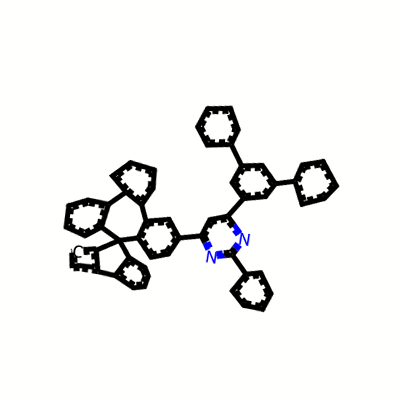 c1ccc(-c2cc(-c3ccccc3)cc(-c3cc(-c4ccc5c(c4)-c4ccccc4-c4ccccc4C54c5ccccc5-c5ccccc54)nc(-c4ccccc4)n3)c2)cc1